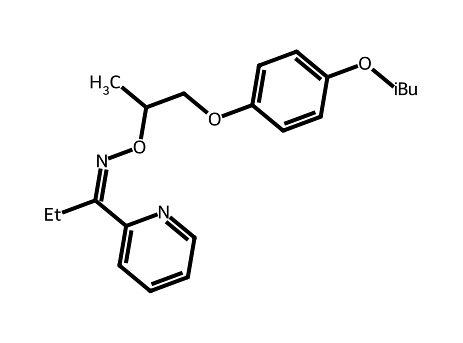 CCC(=NOC(C)COc1ccc(OC(C)CC)cc1)c1ccccn1